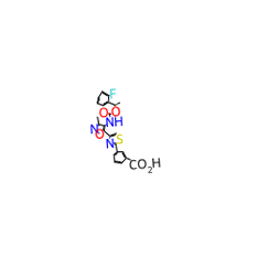 Cc1noc(-c2csc(-c3cccc(CC(=O)O)c3)n2)c1NC(=O)O[C@H](C)c1ccccc1F